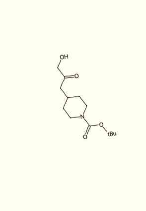 CC(C)(C)OC(=O)N1CCC(CC(=O)CO)CC1